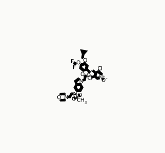 CS(=O)(=O)N(CCN1CCOCC1)c1ccc2c(ccn2CC(=O)O[C@@H](Cc2c(Cl)c[n+]([O-])cc2Cl)c2ccc(OC(F)F)c(OCC3CC3)c2)c1